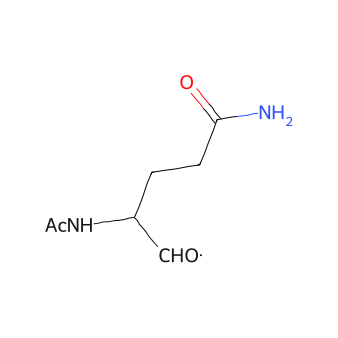 CC(=O)NC([C]=O)CCC(N)=O